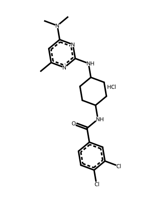 Cc1cc(N(C)C)nc(NC2CCC(NC(=O)c3ccc(Cl)c(Cl)c3)CC2)n1.Cl